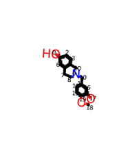 Oc1ccc2c(c1)CCN(Cc1ccc3c(c1)OCO3)C2